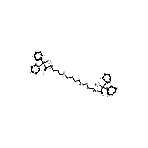 C=C(NCCCNCCCCNCCCNC(=O)C(C)(c1ccccc1)c1ccccc1)C(C)(c1ccccc1)c1ccccc1